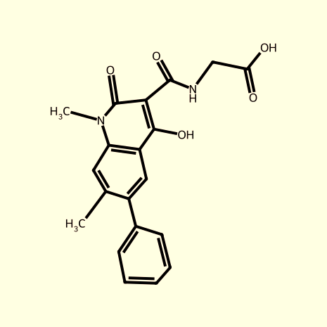 Cc1cc2c(cc1-c1ccccc1)c(O)c(C(=O)NCC(=O)O)c(=O)n2C